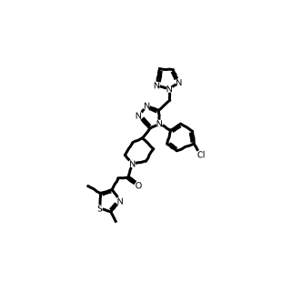 Cc1nc(CC(=O)N2CCC(c3nnc(Cn4nccn4)n3-c3ccc(Cl)cc3)CC2)c(C)s1